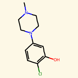 CN1CCN(c2ccc(Cl)c(O)c2)CC1